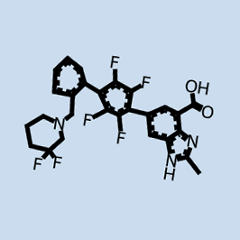 Cc1nc2c(C(=O)O)cc(-c3c(F)c(F)c(-c4ccccc4CN4CCCC(F)(F)C4)c(F)c3F)cc2[nH]1